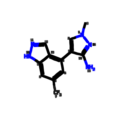 Cn1cc(-c2cc(C(F)(F)F)cc3[nH]ncc23)c(N)n1